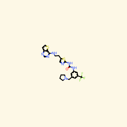 O=C(Nc1cc(CN2CCCC2)cc(C(F)(F)F)c1)Nc1ncc(CCNc2ncnc3ccsc23)s1